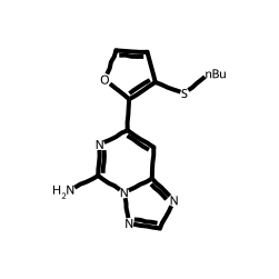 CCCCSc1ccoc1-c1cc2ncnn2c(N)n1